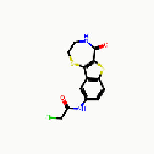 O=C(CCl)Nc1ccc2sc3c(c2c1)SCCNC3=O